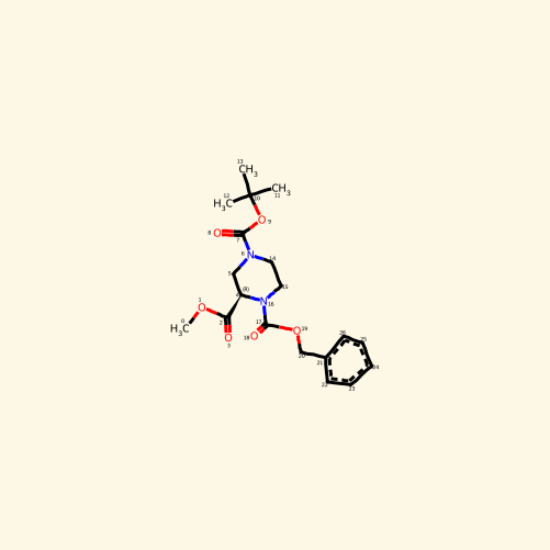 COC(=O)[C@H]1CN(C(=O)OC(C)(C)C)CCN1C(=O)OCc1ccccc1